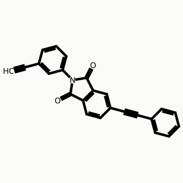 C#Cc1cccc(N2C(=O)c3ccc(C#Cc4ccccc4)cc3C2=O)c1